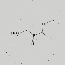 CCOC(=O)C[PH](=O)C(C)OCC